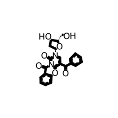 O=C(c1ccccc1)c1cn([C@@H]2CC(O)[C@H](CO)O2)c(=O)n(C(=O)c2ccccc2)c1=O